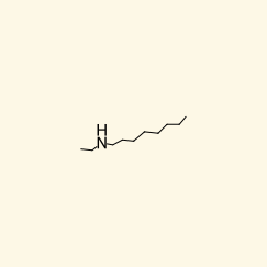 CCCCCCCCNCC